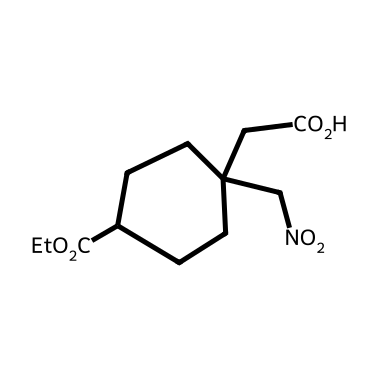 CCOC(=O)C1CCC(CC(=O)O)(C[N+](=O)[O-])CC1